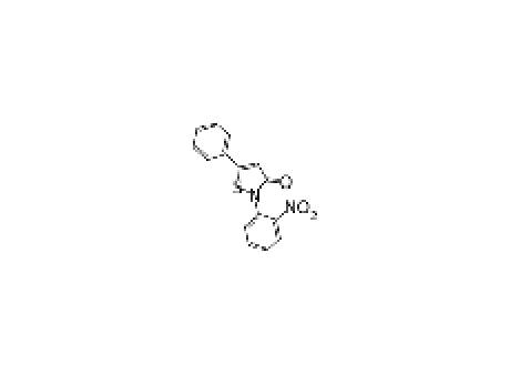 O=c1cc(-c2ccccc2)sn1-c1ccccc1[N+](=O)[O-]